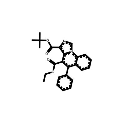 CCOC(=O)c1c(-c2ccccc2)c2ccccc2n2cnc(C(=O)OC(C)(C)C)c12